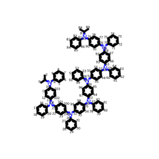 CC(C)N(c1ccccc1)c1ccc(N(c2ccccc2)c2ccc(N(c3ccccc3)c3ccc(N(c4ccccc4)c4ccc(N(c5ccccc5)c5ccc(N(c6ccccc6)c6ccc(N(c7ccccc7)c7ccc(N(c8ccccc8)C(C)C)cc7)cc6)cc5)cc4)cc3)cc2)cc1